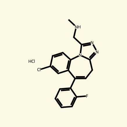 CNCc1nnc2n1-c1ccc(Cl)cc1C(c1ccccc1F)=CC2.Cl